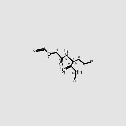 C=COCC(=O)N[C@@H](CCC)C(=O)NC